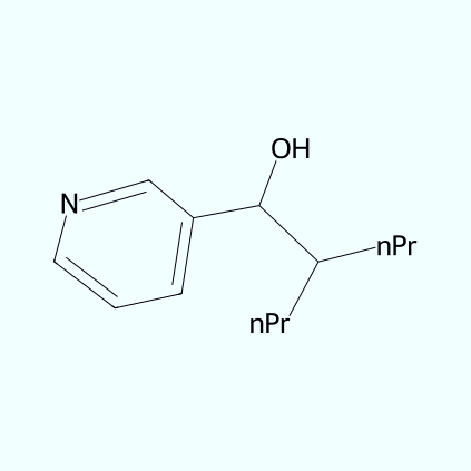 CCCC(CCC)C(O)c1cccnc1